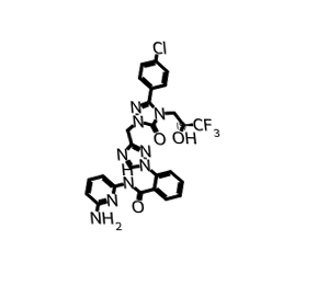 Nc1cccc(NC(=O)c2ccccc2-n2cnc(Cn3nc(-c4ccc(Cl)cc4)n(C[C@H](O)C(F)(F)F)c3=O)n2)n1